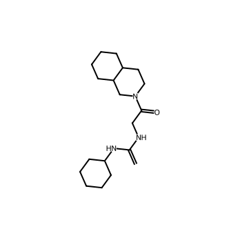 C=C(NCC(=O)N1CCC2CCCCC2C1)NC1CCCCC1